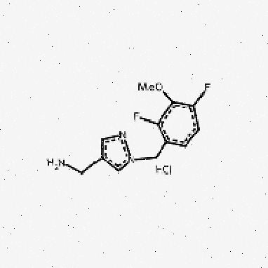 COc1c(F)ccc(Cn2cc(CN)cn2)c1F.Cl